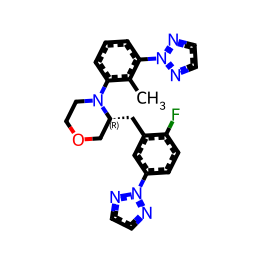 Cc1c(N2CCOC[C@H]2Cc2cc(-n3nccn3)ccc2F)cccc1-n1nccn1